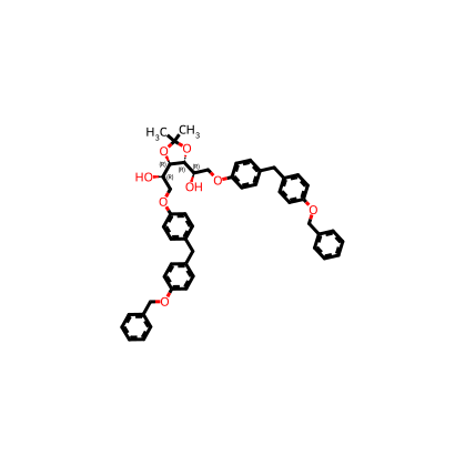 CC1(C)O[C@H]([C@H](O)COc2ccc(Cc3ccc(OCc4ccccc4)cc3)cc2)[C@@H]([C@H](O)COc2ccc(Cc3ccc(OCc4ccccc4)cc3)cc2)O1